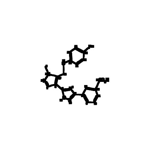 Cn1ncc(-c2nc(-c3cccc(S(=O)(=O)O)c3)no2)c1COc1ccc(F)cc1